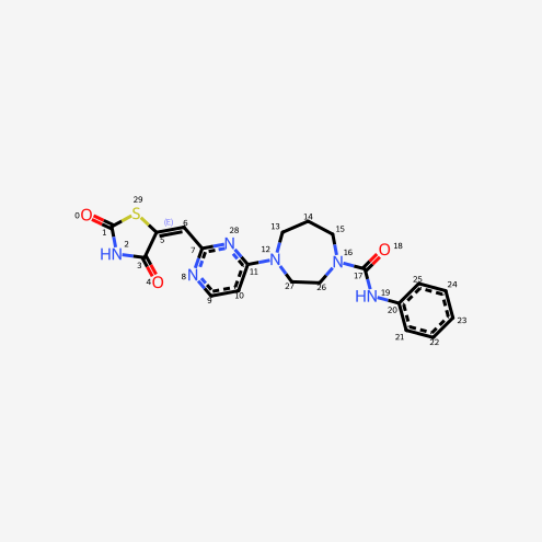 O=C1NC(=O)/C(=C\c2nccc(N3CCCN(C(=O)Nc4ccccc4)CC3)n2)S1